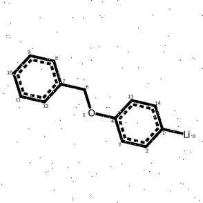 [Li][c]1ccc(OCc2ccccc2)cc1